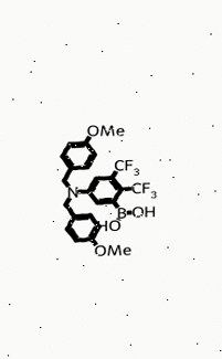 COc1ccc(CN(Cc2ccc(OC)cc2)c2cc(B(O)O)c(C(F)(F)F)c(C(F)(F)F)c2)cc1